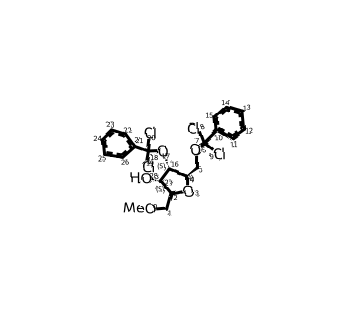 COCC1O[C@H](COC(Cl)(Cl)c2ccccc2)[C@@H](OC(Cl)(Cl)c2ccccc2)[C@H]1O